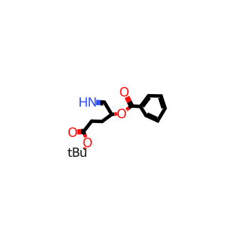 CC(C)(C)OC(=O)CCC(C=N)OC(=O)c1ccccc1